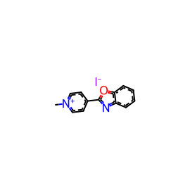 C[n+]1ccc(-c2nc3ccccc3o2)cc1.[I-]